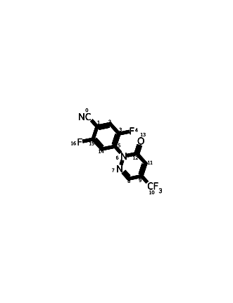 N#Cc1cc(F)c(-n2ncc(C(F)(F)F)cc2=O)cc1F